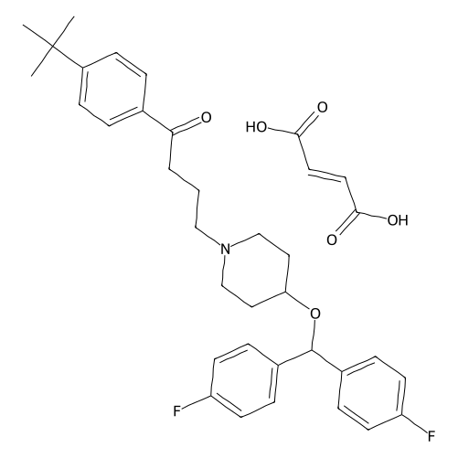 CC(C)(C)c1ccc(C(=O)CCCN2CCC(OC(c3ccc(F)cc3)c3ccc(F)cc3)CC2)cc1.O=C(O)C=CC(=O)O